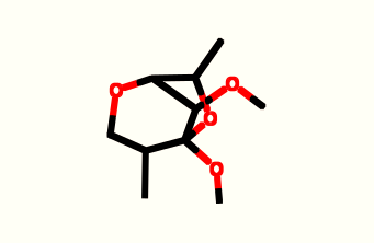 COC1C2OCC(C)C1(OC)OC2C